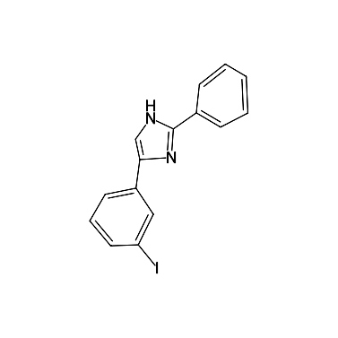 Ic1cccc(-c2c[nH]c(-c3ccccc3)n2)c1